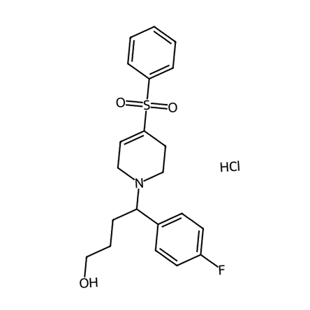 Cl.O=S(=O)(C1=CCN(C(CCCO)c2ccc(F)cc2)CC1)c1ccccc1